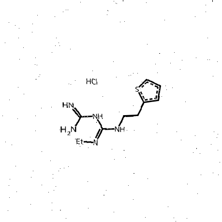 CCN=C(NCCc1cccs1)NC(=N)N.Cl